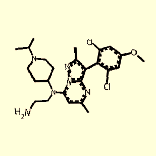 COc1cc(Cl)c(-c2c(C)nn3c(N(CCN)C4CCN(C(C)C)CC4)cc(C)nc23)c(Cl)c1